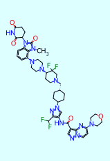 Cn1c(=O)n(C2CCC(=O)NC2=O)c2cccc(N3CCN([C@@H]4CCN(C[C@H]5CC[C@H](n6cc(NC(=O)c7cnn8ccc(N9CCOCC9)nc78)c(C(F)F)n6)CC5)CC4(F)F)CC3)c21